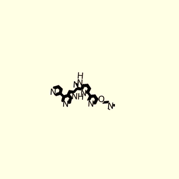 CN(C)CCOc1cncc(-c2ccc3[nH]nc(-c4cc5c(-c6cccnc6)cncc5[nH]4)c3n2)c1